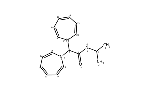 CC(C)NC(=O)C(N1C=CC=CC=C1)N1C=CC=CC=C1